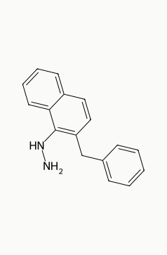 NNc1c(Cc2ccccc2)ccc2ccccc12